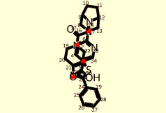 O=C(O)c1ccc(N2CC3CCC(C2)N3CC(=O)N2CCc3nc(-c4ccccc4)sc3C2)nc1